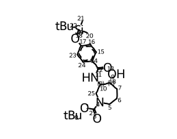 CC(C)(C)OC(=O)N1CCC[C@@H](O)[C@H](NC(=O)c2ccc(O[Si](C)(C)C(C)(C)C)cc2)C1